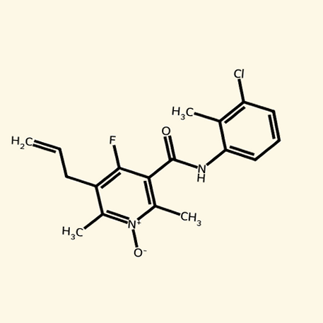 C=CCc1c(F)c(C(=O)Nc2cccc(Cl)c2C)c(C)[n+]([O-])c1C